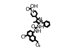 COCc1ccc2c(Cl)ccc(NC(=O)Nc3c(C)c(C4CCN(C(=O)O)CC4)nn3-c3ccccc3)c2c1